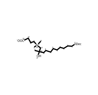 CCCCCCCCCCCCCCCCCCCC(C)(O)C[N+](C)(C)CCCC(=O)[O-]